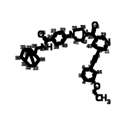 CCOc1cccc(C#Cc2cncc(C(=O)N3CCN(c4ccc(C(=O)NCC56CC7CC(CC(C7)C5)C6)cc4)CC3)c2)c1